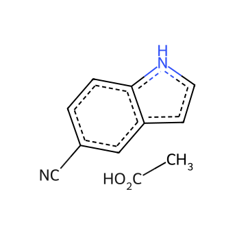 CC(=O)O.N#Cc1ccc2[nH]ccc2c1